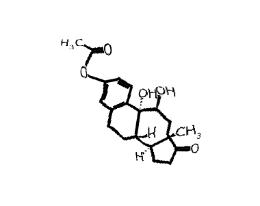 CC(=O)Oc1ccc2c(c1)CC[C@H]1[C@@H]3CCC(=O)[C@@]3(C)C[C@H](O)[C@]21O